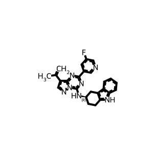 C=C(C)c1cnn2c(N[C@@H]3CCc4[nH]c5ccccc5c4C3)nc(-c3cncc(F)c3)nc12